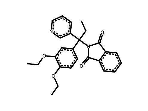 CCOc1ccc(C(CC)(c2cccnc2)N2C(=O)c3ccccc3C2=O)cc1OCC